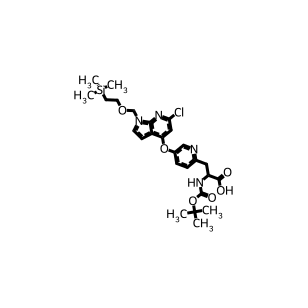 CC(C)(C)OC(=O)NC(Cc1ccc(Oc2cc(Cl)nc3c2ccn3COCC[Si](C)(C)C)cn1)C(=O)O